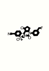 CN1C(=O)N(c2cccc(CF)c2)C2=C(C(=O)CC2)[C@H]1c1ccc(C#N)cc1S(C)(=O)=O